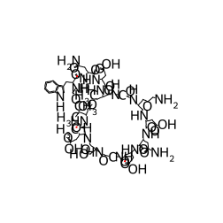 CC(C)C1NC(=O)C(C(C)CC(=O)O)NC(=O)C(CO)NC(=O)CNC(=O)C(CC(=O)O)NC(=O)C(CC(N)=O)NC(=O)C(CC(=O)O)NC(=O)C(CCCN)NC(=O)CNC(=O)C(NC(=O)C(CC(=O)O)NC(=O)C(CC(N)=O)NC(=O)C(Cc2c[nH]c3ccccc23)NC=O)C(C)OC1=O